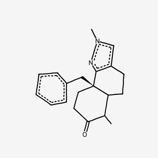 CC1C(=O)CC[C@]2(Cc3ccccc3)c3nn(C)cc3CCC12